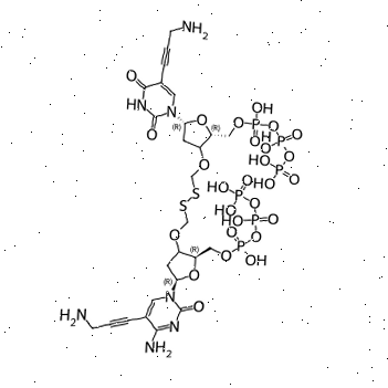 NCC#Cc1cn([C@H]2CC(OCSSCOC3C[C@H](n4cc(C#CCN)c(=O)[nH]c4=O)O[C@@H]3COP(=O)(O)OP(=O)(O)OP(=O)(O)O)[C@@H](COP(=O)(O)OP(=O)(O)OP(=O)(O)O)O2)c(=O)nc1N